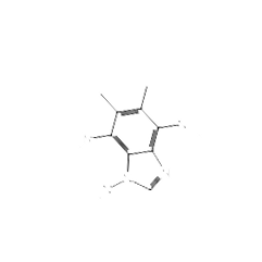 Cc1c(C)c(N)c2c(ncn2N)c1N